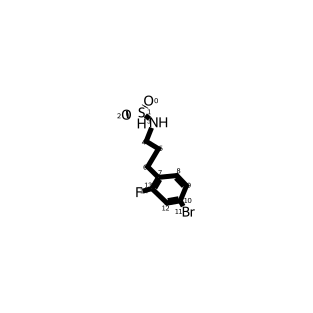 O=[SH](=O)NCCCc1ccc(Br)cc1F